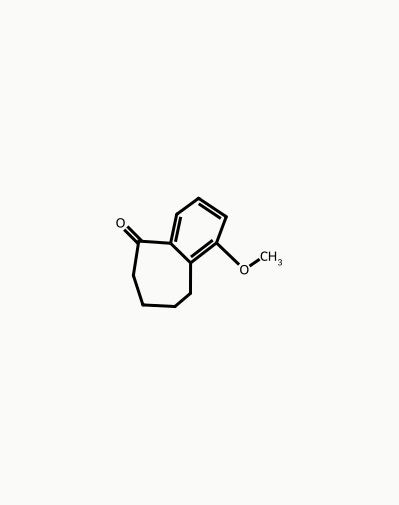 COc1cccc2c1CCCCC2=O